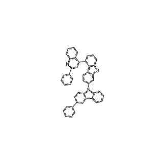 c1ccc(-c2ccc3c(c2)c2ccccc2n3-c2ccc3c(c2)oc2cccc(-c4cc(-c5ccccc5)nc5ccccc45)c23)cc1